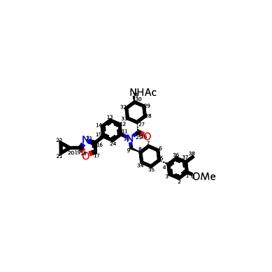 COc1ccc([C@H]2CC[C@H](CN(c3cccc(-c4coc(C5CC5)n4)c3)C(=O)[C@H]3CC[C@H](NC(C)=O)CC3)CC2)cc1C